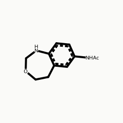 CC(=O)Nc1ccc2c(c1)CCOCN2